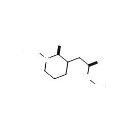 CC(C)(C)OC(=O)CC1CCCN(C(=O)O)C1=O